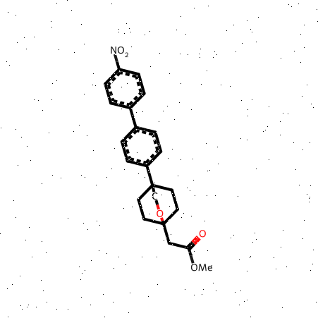 COC(=O)CC12CCC(c3ccc(-c4ccc([N+](=O)[O-])cc4)cc3)(CC1)CO2